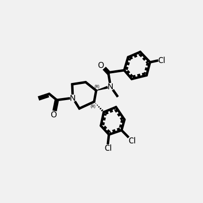 C=CC(=O)N1CC[C@@H](N(C)C(=O)c2ccc(Cl)cc2)[C@H](c2ccc(Cl)c(Cl)c2)C1